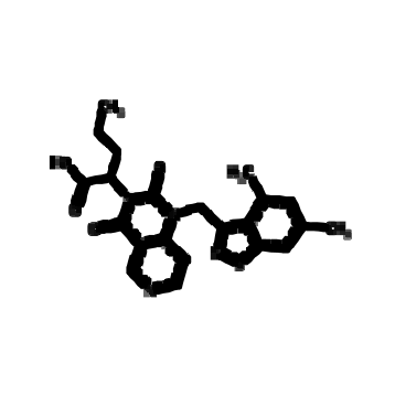 CCCC(C(=O)O)n1c(=O)c2cnccc2n(Cc2nsc3cc(C)cc(C)c23)c1=O